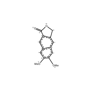 COc1cc2cc3c(cc2cc1OC)C(=O)OC3